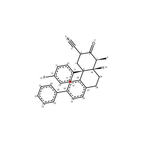 C[C@@H]1C(=O)C(C#N)C[C@@]2(c3ccc(F)cc3)c3nc(-c4cccnc4)ncc3CC[C@@H]12